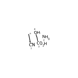 CC#N.N.O=C(O)O